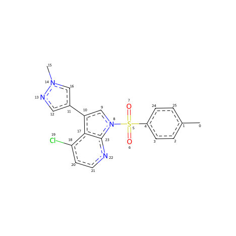 Cc1ccc(S(=O)(=O)n2cc(-c3cnn(C)c3)c3c(Cl)ccnc32)cc1